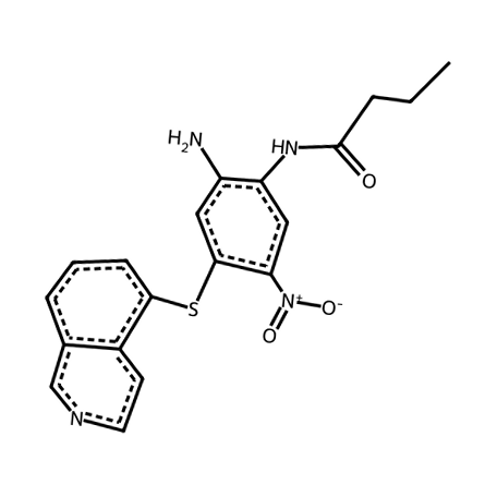 CCCC(=O)Nc1cc([N+](=O)[O-])c(Sc2cccc3cnccc23)cc1N